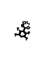 COC([O])c1c(F)c(F)cc(F)c1F